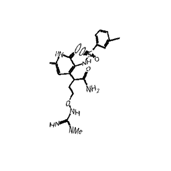 CNC(=N)NOCCC(C(N)=O)c1cc(C)[nH]c(=O)c1NS(=O)(=O)c1cccc(C)c1